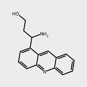 NC(CCO)c1cccc2nc3ccccc3cc12